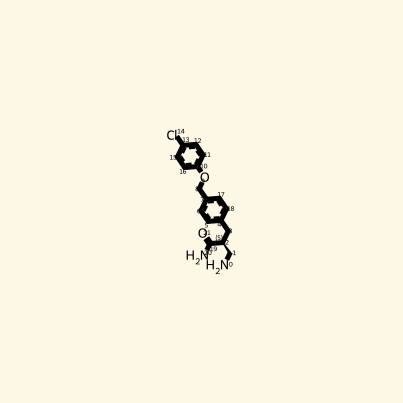 NC[C@H](Cc1ccc(COc2ccc(Cl)cc2)cc1)C(N)=O